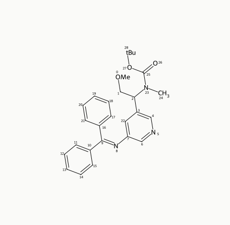 COCC(c1cncc(N=C(c2ccccc2)c2ccccc2)c1)N(C)C(=O)OC(C)(C)C